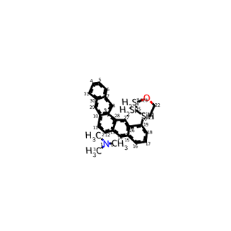 CN(C)C.c1ccc2cc3c(ccc4cc5cccc([SiH]6CCO[SiH2][SiH2]6)c5cc43)cc2c1